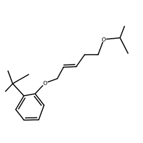 CC(C)OCC/C=C/COc1ccccc1C(C)(C)C